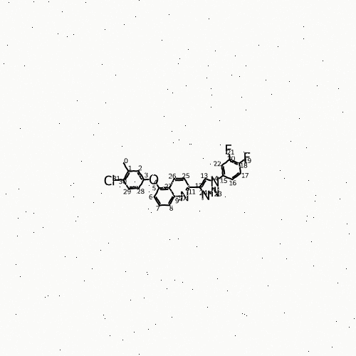 Cc1cc(Oc2cccc3nc(-c4cn(-c5ccc(F)c(F)c5)nn4)ccc23)ccc1Cl